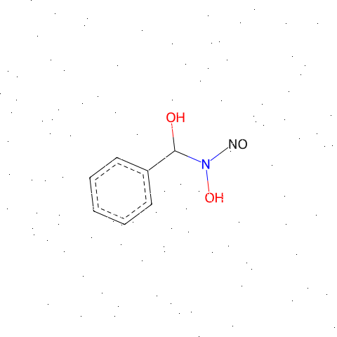 O=NN(O)C(O)c1ccccc1